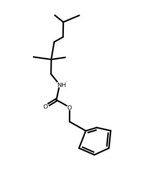 CC(C)CCC(C)(C)CNC(=O)OCc1ccccc1